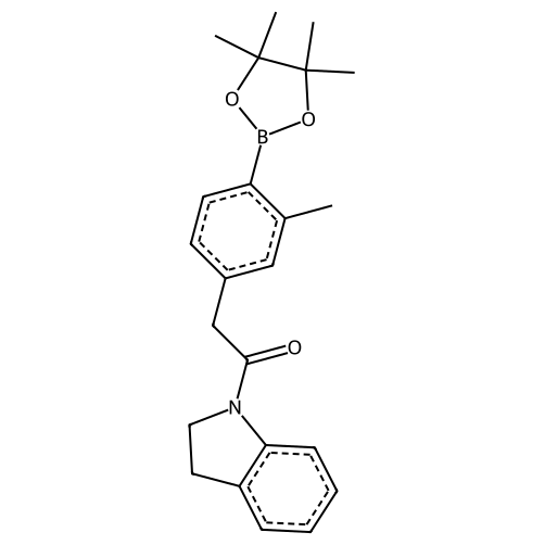 Cc1cc(CC(=O)N2CCc3ccccc32)ccc1B1OC(C)(C)C(C)(C)O1